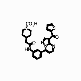 O=C(CC1CCN(C(=O)O)CC1)Nc1cccc(-c2ccnc3c(C(=O)c4cccs4)cnn23)c1